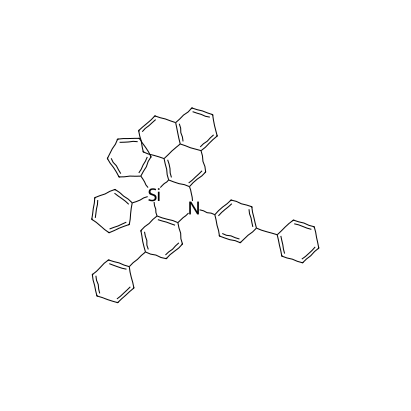 C1=Cc2cccc3cc4c(c(c23)C1)[Si](c1ccccc1)(c1ccccc1)c1cc(-c2ccccc2)ccc1N4c1ccc(-c2ccccc2)cc1